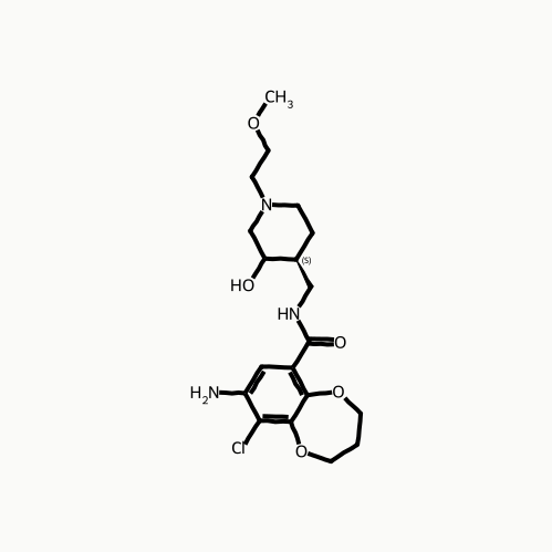 COCCN1CC[C@@H](CNC(=O)c2cc(N)c(Cl)c3c2OCCCO3)C(O)C1